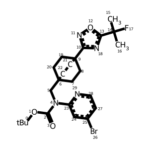 CC(C)(C)OC(=O)N(CC12CCC(c3noc(C(C)(C)F)n3)(CC1)CC2)c1cc(Br)ccn1